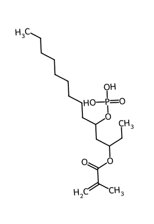 C=C(C)C(=O)OC(CC)CC(CCCCCCCCC)OP(=O)(O)O